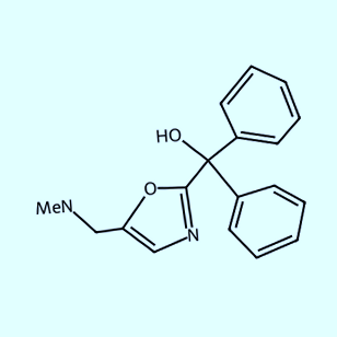 CNCc1cnc(C(O)(c2ccccc2)c2ccccc2)o1